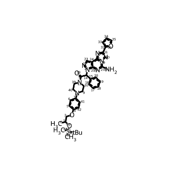 CC(COc1ccc(N2CCN(C(=O)C(c3ccccc3)n3ncc4c3nc(N)n3nc(-c5ccco5)nc43)CC2)cc1)O[Si](C)(C)C(C)(C)C